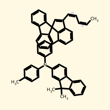 C/C=C\C=C/C1=CC2(c3ccccc3-c3ccccc32)c2c1cccc2-c1cccc(N(c2ccc(C)cc2)c2ccc3c(c2)C(C)(C)c2ccccc2-3)c1